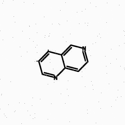 [c]1[c]c2cnccc2nc1